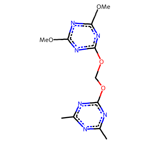 COc1nc(OC)nc(OCOc2nc(C)nc(C)n2)n1